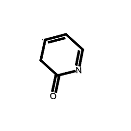 O=C1C[C]=CC=N1